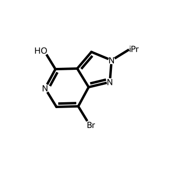 CC(C)n1cc2c(O)ncc(Br)c2n1